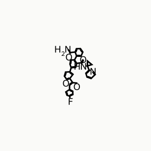 NC(=O)c1ccccc1-c1ccc(-c2ccc3oc(-c4ccc(F)cc4)c(C=O)c3c2)cc1C(=O)NC1(c2ccccn2)CC1